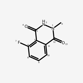 Cn1[nH]c(=O)c2c(F)cccc2c1=O